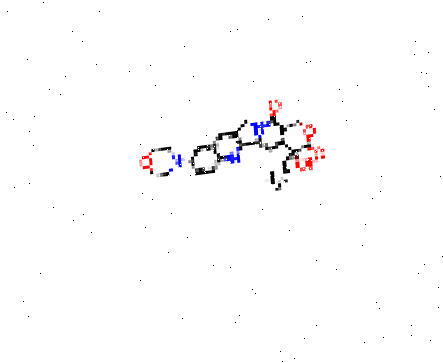 CC[C@@]1(O)C(=O)OCc2c1cc1n(c2=O)Cc2cc3cc(N4CCOCC4)ccc3nc2-1